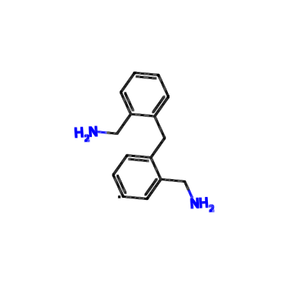 NCc1c[c]ccc1Cc1ccccc1CN